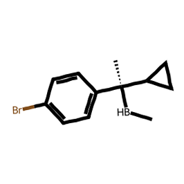 CB[C@@](C)(c1ccc(Br)cc1)C1CC1